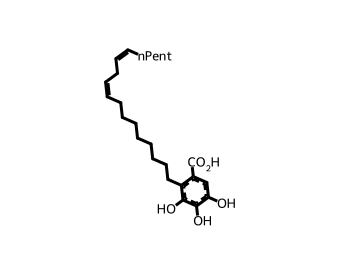 CCCCC/C=C\C/C=C\CCCCCCCCc1c(C(=O)O)cc(O)c(O)c1O